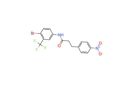 O=C(CCc1ccc([N+](=O)[O-])cc1)Nc1ccc(Br)c(C(F)(F)F)c1